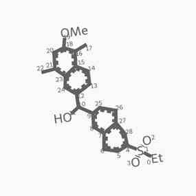 CCS(=O)(=O)c1ccc2cc(C(O)c3ccc4c(C)c(OC)cc(C)c4c3)ccc2c1